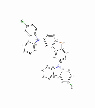 Brc1ccc2c(c1)c1ccccc1n2-c1ccc2sc3ccc(-n4c5ccccc5c5cc(Br)ccc54)cc3c2c1